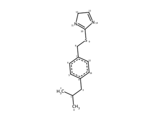 CC(C)Cc1ccc(CSC2=NCC=N2)cc1